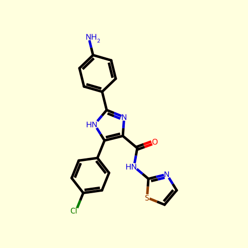 Nc1ccc(-c2nc(C(=O)Nc3nccs3)c(-c3ccc(Cl)cc3)[nH]2)cc1